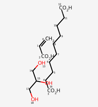 C=CC(=O)O.O=C(O)CCCCCCCCC(=O)O.OCC(O)CO